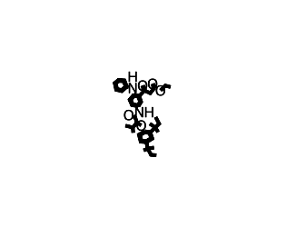 CCOC(=O)CC(=O)c1cc(NC(=O)C(Oc2ccc(C(C)(C)CC)cc2C(C)(C)CC)C(C)C)ccc1Nc1ccccc1